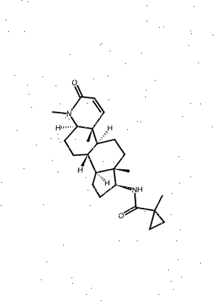 CN1C(=O)C=C[C@]2(C)[C@H]3CC[C@]4(C)[C@@H](NC(=O)C5(C)CC5)CC[C@H]4[C@@H]3CC[C@@H]12